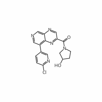 O=C(c1cnc2cncc(-c3ccc(Cl)nc3)c2n1)N1CCC(O)C1